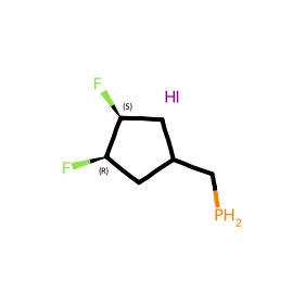 F[C@@H]1CC(CP)C[C@@H]1F.I